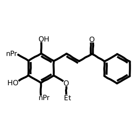 CCCc1c(O)c(C=CC(=O)c2ccccc2)c(OCC)c(CCC)c1O